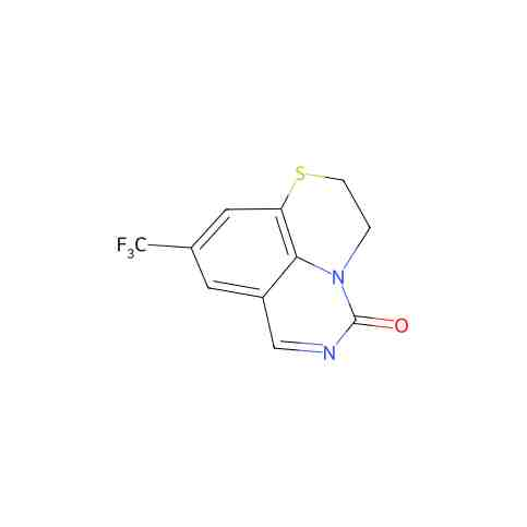 O=c1ncc2cc(C(F)(F)F)cc3c2n1CCS3